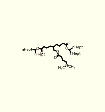 CCCCCCCC(CCCCCCC)OC(=O)CCCC(CCCC(=O)OC(CCCCCCC)CCCCCCC)COC(=O)CCCN(C)C